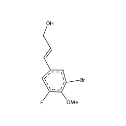 COc1c(F)cc(C=CCO)cc1Br